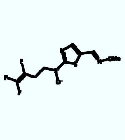 CO/N=C/c1cnc([S+]([O-])CCC(F)=C(F)F)s1